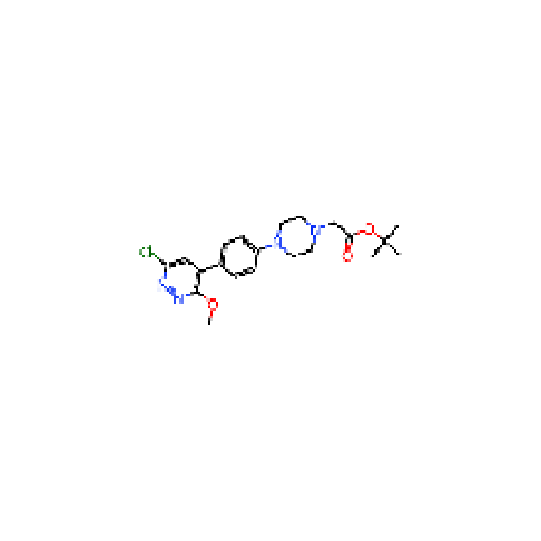 COc1nnc(Cl)cc1-c1ccc(N2CCN(CC(=O)OC(C)(C)C)CC2)cc1